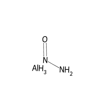 NN=O.[AlH3]